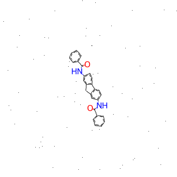 O=C(Nc1ccc2c(c1)Cc1cc(NC(=O)c3ccccc3)ccc1-2)c1ccccc1